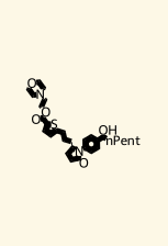 CCCCCC(O)c1ccc(N2C(=O)CC[C@@H]2CCCc2ccc(C(=O)OCCN3CCOCC3)s2)cc1